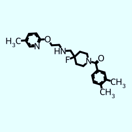 Cc1ccc(OCCNCC2(F)CCN(C(=O)c3ccc(C)c(C)c3)CC2)nc1